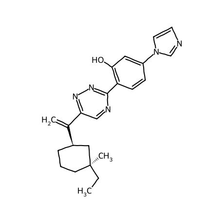 C=C(c1cnc(-c2ccc(-n3ccnc3)cc2O)nn1)[C@@H]1CCC[C@](C)(CC)C1